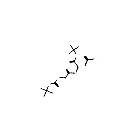 CC(C)(C)OC(=O)NCC(=S)N[C@@H](CC(=O)O)C(=O)OC(C)(C)C